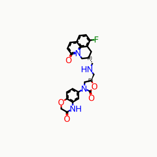 O=C1COc2ccc(N3C[C@@H](CNC[C@H]4Cc5c(F)ccc6ccc(=O)n(c56)C4)OC3=O)cc2N1